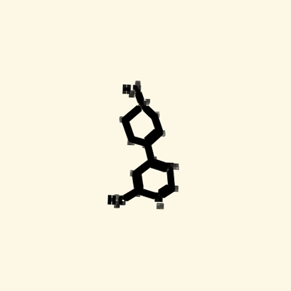 Cc1cc(C2=CCN(N)CC2)ncn1